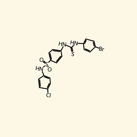 O=S(=O)(Nc1ccc(Cl)cc1)c1ccc(NC(=S)Nc2ccc(Br)cc2)cc1